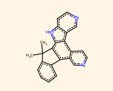 CC1(C)c2ccccc2-c2c1c1[nH]c3ccncc3c1c1ccncc21